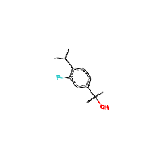 CC(C)c1ccc(C(C)(C)O)cc1F